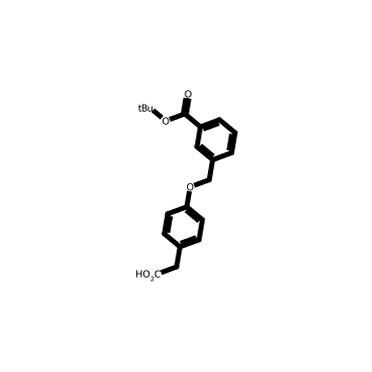 CC(C)(C)OC(=O)c1cccc(COc2ccc(CC(=O)O)cc2)c1